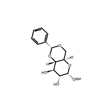 CO[C@H]1O[C@@H]2CO[C@@H](c3ccccc3)O[C@H]2[C@H](O)[C@H]1O